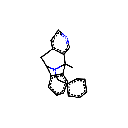 CC12c3cnccc3CC(c3ccccc31)N2Cc1ccccc1